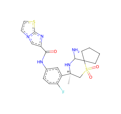 C[C@@]1(c2cc(NC(=O)c3cn4ccsc4n3)ccc2F)CS(=O)(=O)C2(CCCC2)C(N)N1